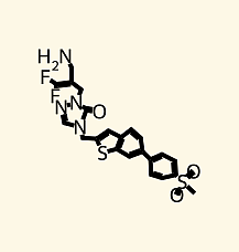 CS(=O)(=O)c1ccc(-c2ccc3cc(Cn4cnn(CC(CN)=C(F)F)c4=O)sc3c2)cc1